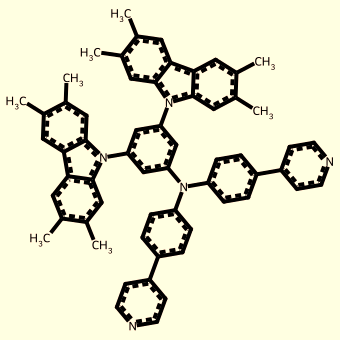 Cc1cc2c3cc(C)c(C)cc3n(-c3cc(N(c4ccc(-c5ccncc5)cc4)c4ccc(-c5ccncc5)cc4)cc(-n4c5cc(C)c(C)cc5c5cc(C)c(C)cc54)c3)c2cc1C